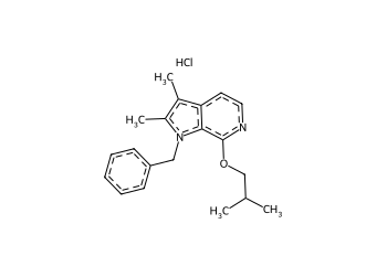 Cc1c(C)n(Cc2ccccc2)c2c(OCC(C)C)nccc12.Cl